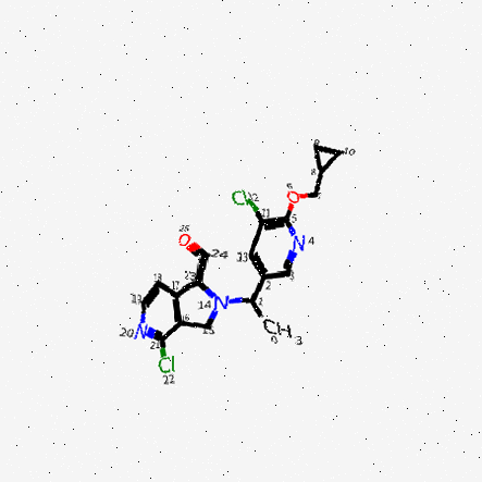 CC(c1cnc(OCC2CC2)c(Cl)c1)N1Cc2c(ccnc2Cl)C1C=O